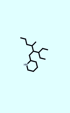 CCCC(C)C(CC1CCCCN1)C(CC)CC